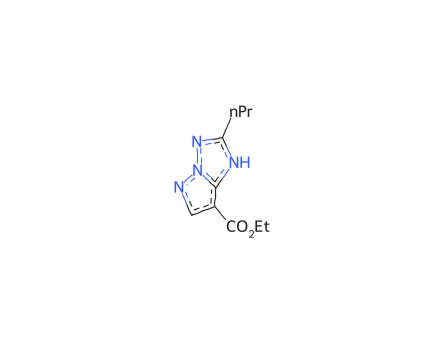 CCCc1nn2ncc(C(=O)OCC)c2[nH]1